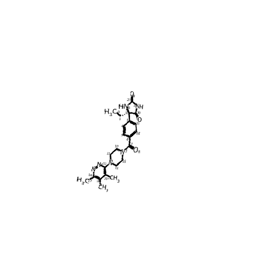 CC[C@]1(c2ccc(C(=O)N3CCN(c4nnc(C)c(C)c4C)CC3)cc2)NC(=O)NC1=O